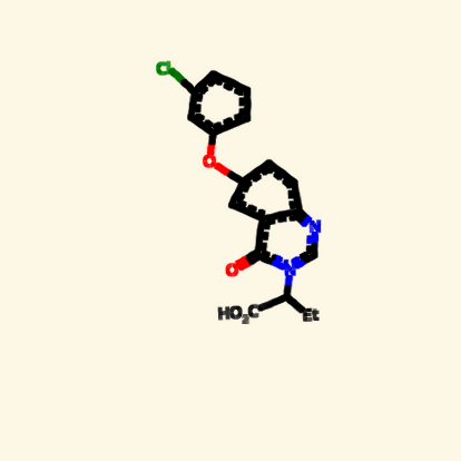 CCC(C(=O)O)n1cnc2ccc(Oc3cccc(Cl)c3)cc2c1=O